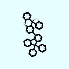 CC1(c2ccccc2)c2ccccc2Oc2ccc(-c3cccc4c3-c3ccccc3C4(c3ccccc3)c3ccccc3)cc21